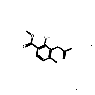 C=C(C)Cc1c(I)ccc(C(=O)OC)c1O